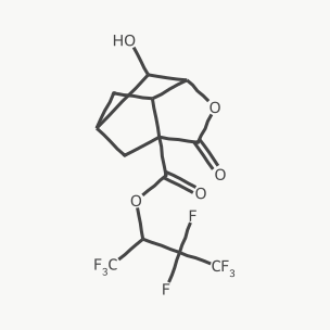 O=C1OC2C(O)C3CC2C1(C(=O)OC(C(F)(F)F)C(F)(F)C(F)(F)F)C3